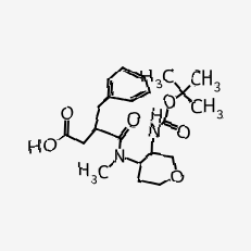 CN(C(=O)C(CC(=O)O)Cc1ccccc1)C1CCOCC1NC(=O)OC(C)(C)C